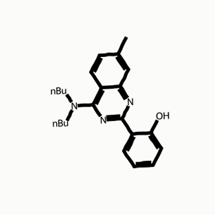 CCCCN(CCCC)c1nc(-c2ccccc2O)nc2cc(C)ccc12